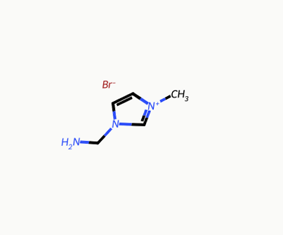 C[n+]1ccn(CN)c1.[Br-]